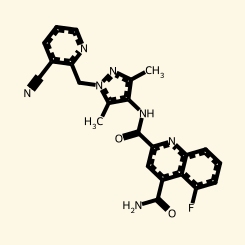 Cc1nn(Cc2ncccc2C#N)c(C)c1NC(=O)c1cc(C(N)=O)c2c(F)cccc2n1